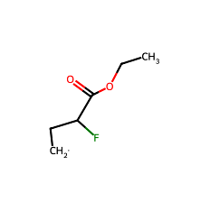 [CH2]CC(F)C(=O)OCC